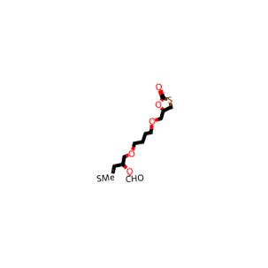 CSCC(COCCCCOCC1CSC(=O)O1)OC=O